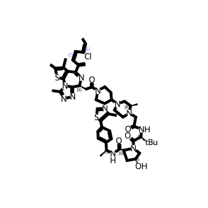 C=C(/C=C\C(Cl)=C/C)C1=N[C@@H](CC(=O)N2CCC(N3CCN(CC(=O)N[C@H](C(=O)N4C[C@H](O)C[C@H]4C(=O)N[C@@H](C)c4ccc(-c5scnc5C)cc4)C(C)(C)C)[C@H](C)C3)CC2)c2nnc(C)n2-c2sc(C)c(C)c21